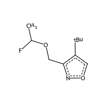 CC(F)OCc1nocc1C(C)(C)C